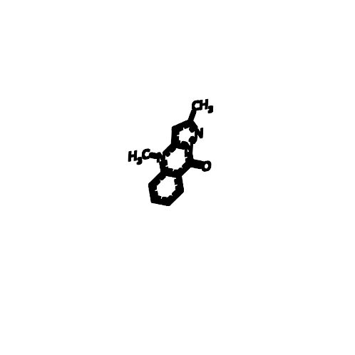 Cc1cc2n(C)c3ccccc3c(=O)n2n1